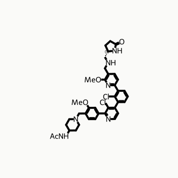 COc1cc(-c2nccc(-c3cccc(-c4ccc(CNC[C@@H]5CCC(=O)N5)c(OC)n4)c3Cl)c2Cl)ccc1CN1CCC(NC(C)=O)CC1